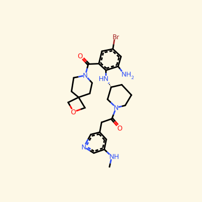 CNc1cncc(CC(=O)N2CCC[C@@H](Nc3c(N)cc(Br)cc3C(=O)N3CCC4(CC3)COC4)C2)c1